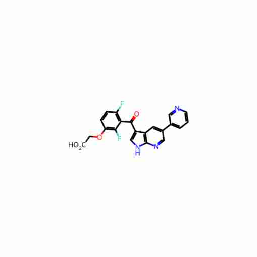 O=C(O)COc1ccc(F)c(C(=O)c2c[nH]c3ncc(-c4cccnc4)cc23)c1F